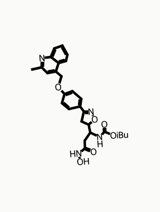 Cc1cc(COc2ccc(C3=NOC(C(CC(=O)NO)NC(=O)OCC(C)C)C3)cc2)c2ccccc2n1